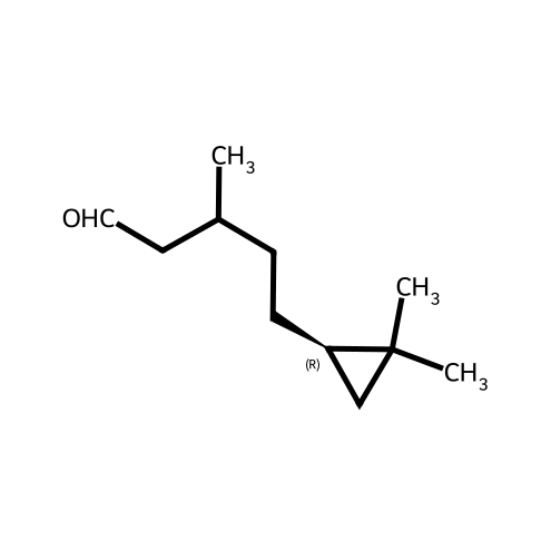 CC(CC=O)CC[C@@H]1CC1(C)C